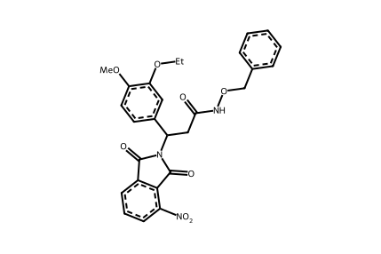 CCOc1cc(C(CC(=O)NOCc2ccccc2)N2C(=O)c3cccc([N+](=O)[O-])c3C2=O)ccc1OC